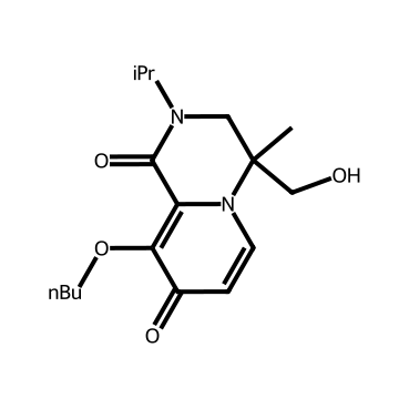 CCCCOc1c2n(ccc1=O)C(C)(CO)CN(C(C)C)C2=O